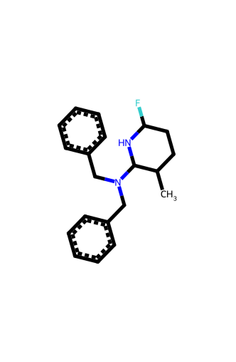 CC1CCC(F)NC1N(Cc1ccccc1)Cc1ccccc1